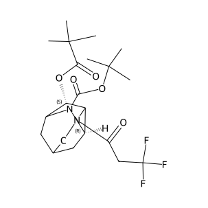 CC(C)(C)OC(=O)N1C2CC3C[C@@H]1C([C@H]2OC(=O)C(C)(C)C)N(C(=O)CC(F)(F)F)C3